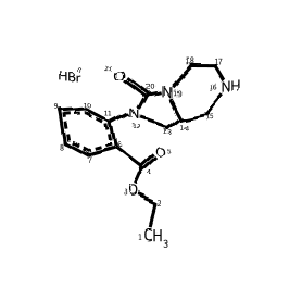 Br.CCOC(=O)c1ccccc1N1CC2CNCCN2C1=O